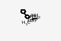 COc1ccc(-c2ccccc2)cc1N(N)C(=O)C(F)(F)F